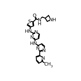 Cc1cccc(-c2nccc(Nc3ccnc(Nc4csc(C(=O)NCC5CNC5)c4)n3)n2)n1